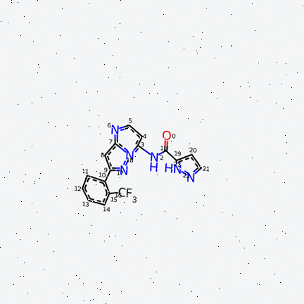 O=C(Nc1ccnc2cc(-c3ccccc3C(F)(F)F)nn12)c1ccn[nH]1